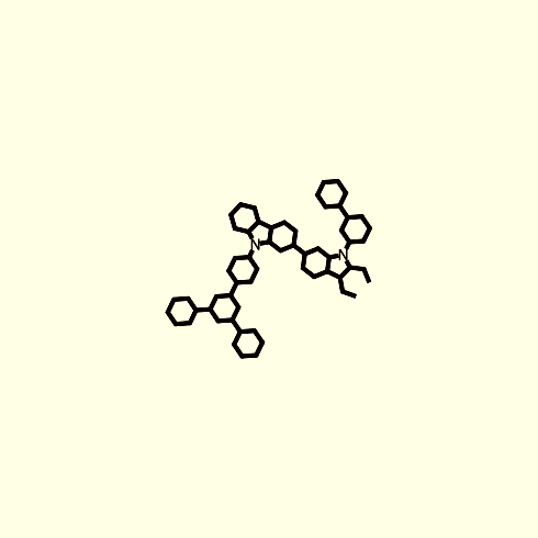 CCC1C2CCC(C3CCC4C5CCCCC5N(C5CCC(C6CC(C7CCCCC7)CC(C7CCCCC7)C6)CC5)C4C3)CC2N(C2CCCC(C3CCCCC3)C2)C1CC